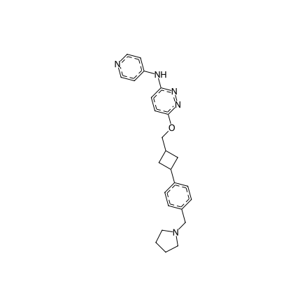 c1cc(Nc2ccc(OCC3CC(c4ccc(CN5CCCC5)cc4)C3)nn2)ccn1